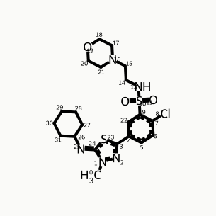 Cn1nc(-c2ccc(Cl)c(S(=O)(=O)NCCN3CCOCC3)c2)sc1=NC1CCCCC1